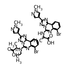 CCN(c1nc2c(Br)cccc2c2nc(-c3cnn(C)c3)nn12)[C@H](C)C(=O)O.C[C@@H](Nc1nc2c(Br)cccc2c2nc(-c3cnn(C)c3)nn12)C(=O)O